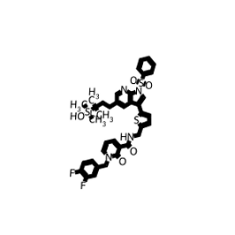 CC(C)(CCc1cnc2c(c1)c(-c1ccc(CNC(=O)c3cccn(Cc4ccc(F)c(F)c4)c3=O)s1)cn2S(=O)(=O)c1ccccc1)[Si](C)(C)O